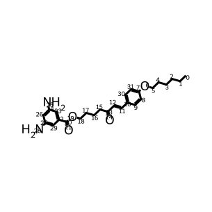 CCCCCCOc1ccc(/C=C/C(=O)CCCCOC(=O)c2cc(N)cc(N)c2)cc1